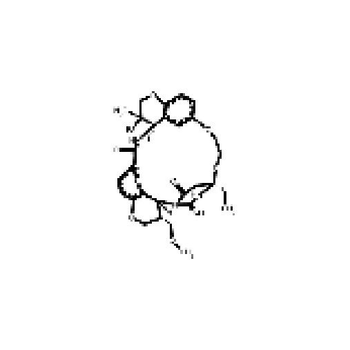 CC[C@]12CCCCc3ccc4c(c3)[C@@H](NC(=O)c3ccc5c(c3)[C@@H]([C@H](COC)CO5)N(C(=N)N1)C(=O)C2)[C@](C)(O)CO4